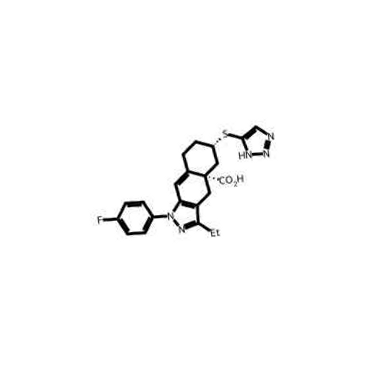 CCc1nn(-c2ccc(F)cc2)c2c1C[C@]1(C(=O)O)C[C@@H](Sc3cnn[nH]3)CCC1=C2